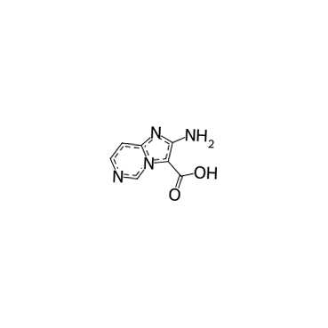 Nc1nc2ccncn2c1C(=O)O